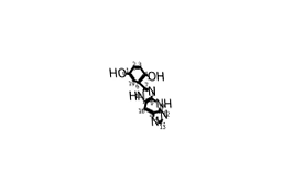 Oc1[c]cc(O)c(-c2nc3[nH]c4n[c]nc-4cc3[nH]2)c1